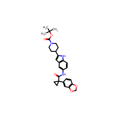 CC(C)(C)OC(=O)N1CCC(c2cc3cc(NC(=O)C4(c5ccc6c(c5)OCO6)CC4)ccc3[nH]2)CC1